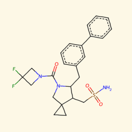 NS(=O)(=O)CC1C(Cc2cccc(-c3ccccc3)c2)N(C(=O)N2CC(F)(F)C2)CC12CC2